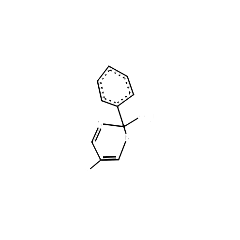 O=C(O)C1(c2ccccc2)N=CC(Br)=CN1